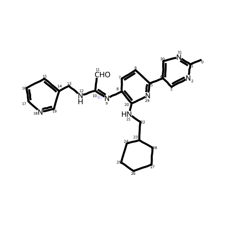 Cc1ncc(-c2ccc(/N=C(\C=O)NCc3cccnc3)c(NCC3CCCCC3)n2)cn1